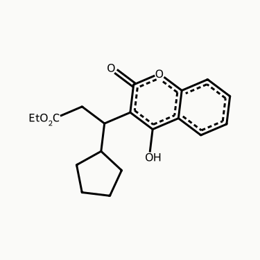 CCOC(=O)CC(c1c(O)c2ccccc2oc1=O)C1CCCC1